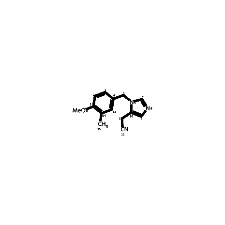 COc1ccc(Cn2cncc2CC#N)cc1C